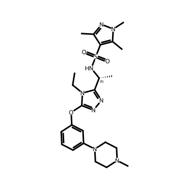 CCn1c(Oc2cccc(N3CCN(C)CC3)c2)nnc1[C@@H](C)NS(=O)(=O)c1c(C)nn(C)c1C